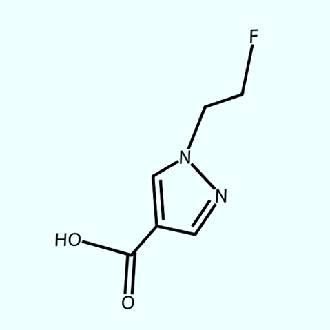 O=C(O)c1cnn(CCF)c1